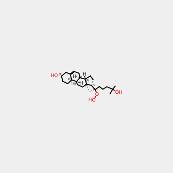 CC(C)(O)CCC[C@@](C)(OO)[C@H]1CC[C@H]2[C@@H]3CC=C4C[C@@H](O)CC[C@]4(C)[C@H]3CC[C@@]21C